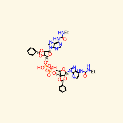 CCNC(=O)Nc1ncnc2c1ncn2[C@@H]1O[C@H](COP(=O)(O)OP(=O)(O)OC[C@H]2O[C@@H](n3cnc4c(NC(=O)NCC)ccnc43)C3O[C@@H](c4ccccc4)O[C@H]32)C2O[C@@H](c3ccccc3)OC21